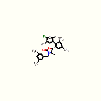 Cc1cc(F)c(C(C)C)cc1-c1c([C@H]2OC(=O)N(Cc3cc(C(F)(F)F)cc(C(F)(F)F)c3)[C@@H]2C)cc(C(F)(F)F)cc1[N+](=O)[O-]